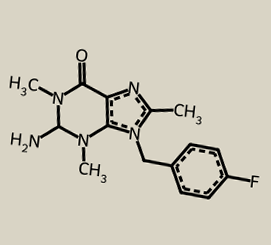 Cc1nc2c(n1Cc1ccc(F)cc1)N(C)C(N)N(C)C2=O